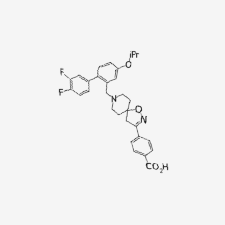 CC(C)Oc1ccc(-c2ccc(F)c(F)c2)c(CN2CCC3(CC2)CC(c2ccc(C(=O)O)cc2)=NO3)c1